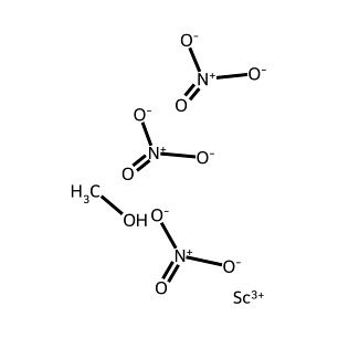 CO.O=[N+]([O-])[O-].O=[N+]([O-])[O-].O=[N+]([O-])[O-].[Sc+3]